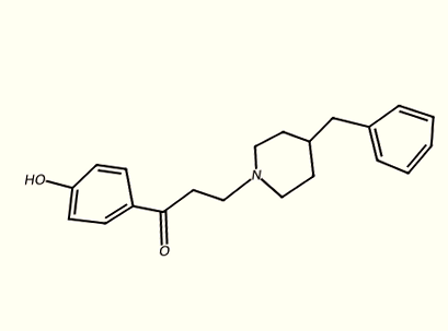 O=C(CCN1CCC(Cc2ccccc2)CC1)c1ccc(O)cc1